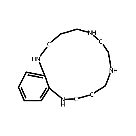 c1ccc2c(c1)NCCCNCCNCCCN2